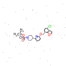 CC(C)(C)OC(=O)N1CCC(c2cccc(OCc3ccc(Cl)c4ccoc34)n2)CC1